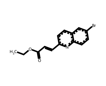 CCOC(=O)/C=C/c1ccc2cc(Br)ccc2n1